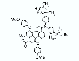 C=C(C)CC(C)(C)c1ccc(N(c2ccc(C(C)(C)CC(C)(C)C)cc2)c2ccc3c4c(Oc5ccc(OC)cc5)cc5c6c(cc(Oc7ccc(OC)cc7)c(c7cccc2c73)c64)C(=O)OC5=O)cc1